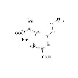 CCCC(CCC)C(=O)[O-].NCCCCC(N)C(=O)O.[Na+]